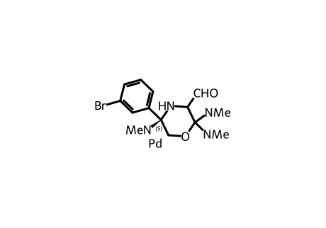 CNC1(NC)OC[C@](NC)(c2cccc(Br)c2)NC1C=O.[Pd]